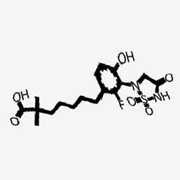 CC(C)(CCCCCc1ccc(O)c(N2CC(=O)NS2(=O)=O)c1F)C(=O)O